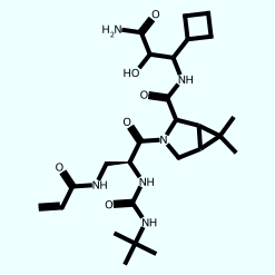 C=CC(=O)NC[C@H](NC(=O)NC(C)(C)C)C(=O)N1CC2C(C1C(=O)NC(C1CCC1)C(O)C(N)=O)C2(C)C